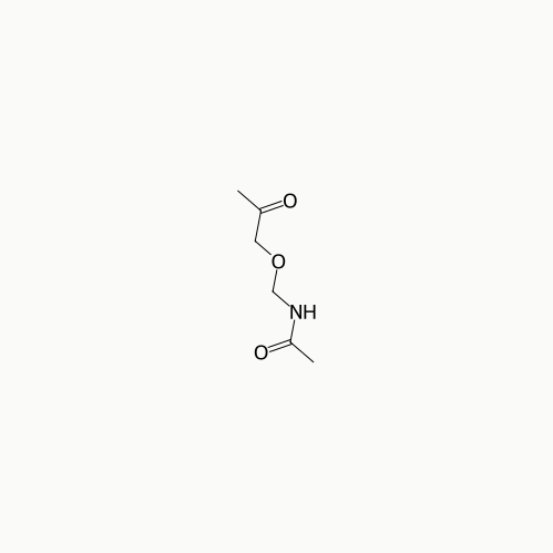 CC(=O)COCNC(C)=O